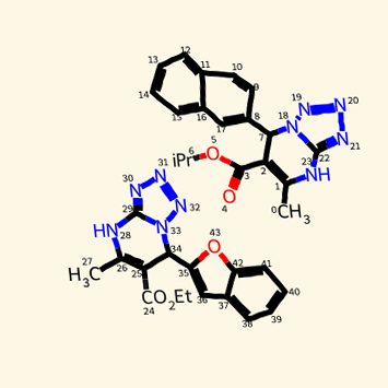 CC1=C(C(=O)OC(C)C)C(c2ccc3ccccc3c2)n2nnnc2N1.CCOC(=O)C1=C(C)Nc2nnnn2C1c1cc2ccccc2o1